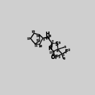 CC(F)(F)C1(C)SC(N[C@H]2CC3CCC2C3)=NC1=O